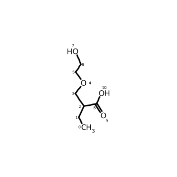 CCC(COCCO)C(=O)O